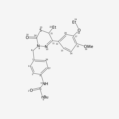 CCCCC(=O)Nc1ccc(CN2N=C(c3ccc(OC)c(OCC)c3)C(CC)SC2=O)cc1